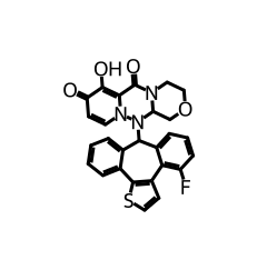 O=C1c2c(O)c(=O)ccn2N(C2c3ccccc3-c3sccc3-c3c(F)cccc32)C2COCCN12